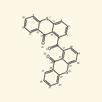 O=C(c1cccc2sc3ccccc3c(=O)c12)c1cccc2sc3ccccc3c(=O)c12